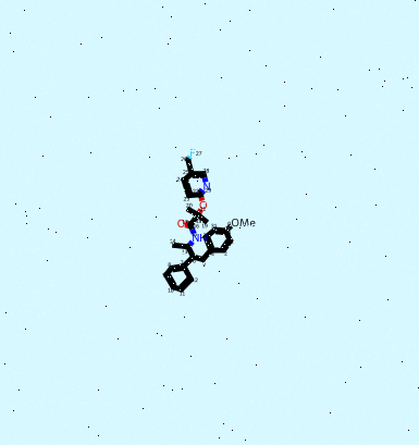 COc1ccc(CC(c2ccccc2)C(C)NC(=O)C(C)(C)Oc2ccc(CF)cn2)cc1